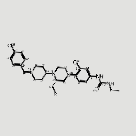 CCNC(=O)Nc1ccc(N2CCN(C3CCN(Cc4ccc(Cl)cc4)CC3)[C@@H](CC)C2)c(Cl)c1